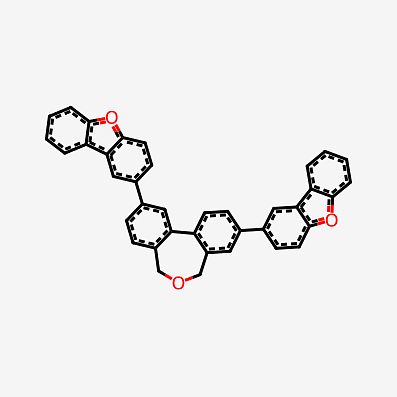 c1ccc2c(c1)oc1ccc(-c3ccc4c(c3)COCc3ccc(-c5ccc6oc7ccccc7c6c5)cc3-4)cc12